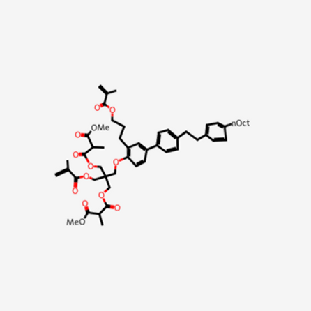 C=C(C)C(=O)OCCCc1cc(-c2ccc(CCc3ccc(CCCCCCCC)cc3)cc2)ccc1OCC(COC(=O)C(=C)C)(COC(=O)C(C)C(=O)OC)COC(=O)C(C)C(=O)OC